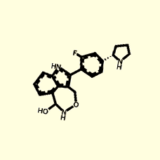 OC1NOCc2c(-c3ccc([C@@H]4CCCN4)cc3F)[nH]c3cccc1c23